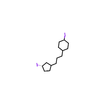 IC1CCC(CCCC2CC[C@H](I)C2)CC1